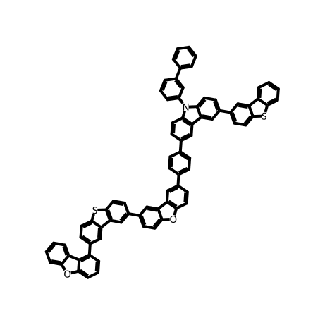 c1ccc(-c2cccc(-n3c4ccc(-c5ccc(-c6ccc7oc8ccc(-c9ccc%10sc%11ccc(-c%12cccc%13oc%14ccccc%14c%12%13)cc%11c%10c9)cc8c7c6)cc5)cc4c4cc(-c5ccc6sc7ccccc7c6c5)ccc43)c2)cc1